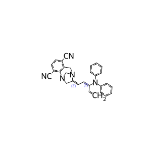 C=C/C(=C\C=C1\CN2CN1Cc1c(C#N)ccc(C#N)c12)N(c1ccccc1)c1ccccc1